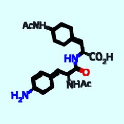 CC(=O)NC1CCC(=C[C@H](NC(=O)[C@H](/C=C2/C=C[C@H](N)CC2)NC(C)=O)C(=O)O)CC1